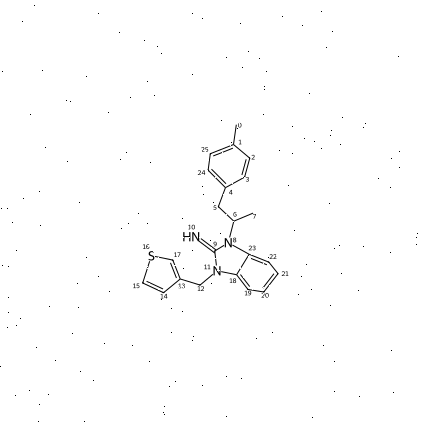 Cc1ccc(CC(C)n2c(=N)n(Cc3ccsc3)c3ccccc32)cc1